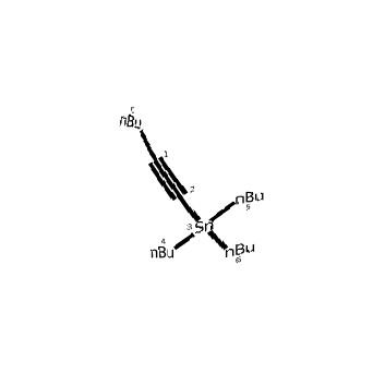 CCCCC#[C][Sn]([CH2]CCC)([CH2]CCC)[CH2]CCC